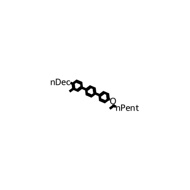 CCCCCCCCCCc1ccc(-c2ccc(-c3ccc(OC(C)CCCCC)cc3)cc2)cc1C